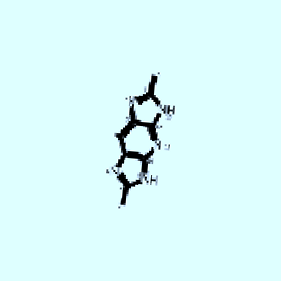 Cc1nc2cc3nc(C)[nH]c3nc2[nH]1